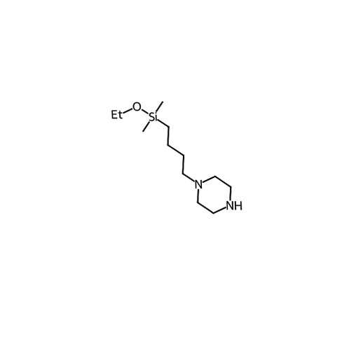 CCO[Si](C)(C)CCCCN1CCNCC1